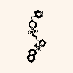 O=S(=O)(CCC[C@@H]1CCCN1S(=O)(=O)c1ccc2ccccc2c1)N1CCC(Oc2ccncc2)CC1